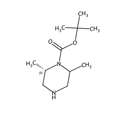 CC1CNC[C@H](C)N1C(=O)OC(C)(C)C